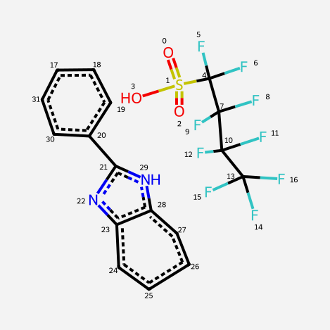 O=S(=O)(O)C(F)(F)C(F)(F)C(F)(F)C(F)(F)F.c1ccc(-c2nc3ccccc3[nH]2)cc1